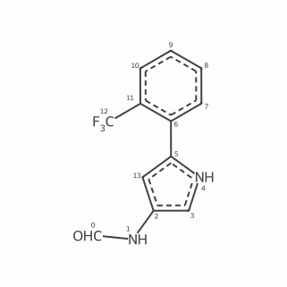 O=CNc1c[nH]c(-c2ccccc2C(F)(F)F)c1